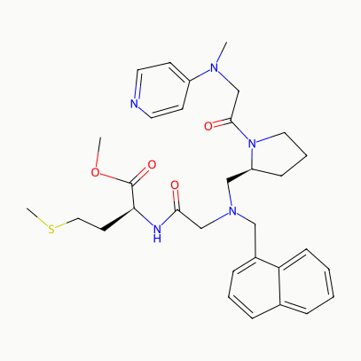 COC(=O)[C@H](CCSC)NC(=O)CN(Cc1cccc2ccccc12)C[C@@H]1CCCN1C(=O)CN(C)c1ccncc1